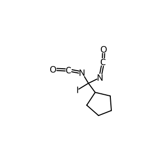 O=C=NC(I)(N=C=O)C1CCCC1